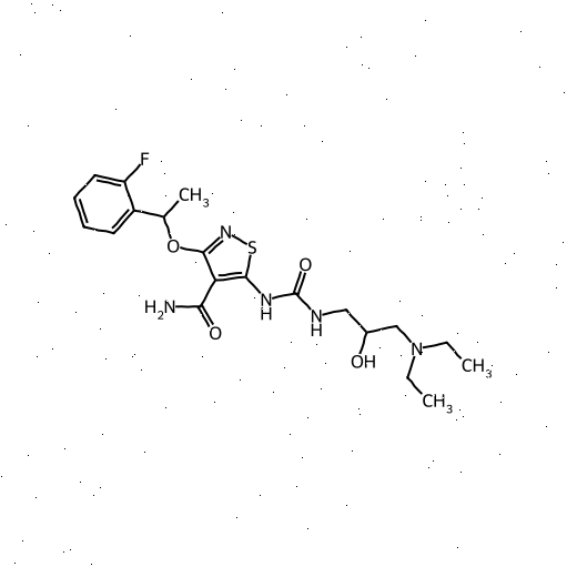 CCN(CC)CC(O)CNC(=O)Nc1snc(OC(C)c2ccccc2F)c1C(N)=O